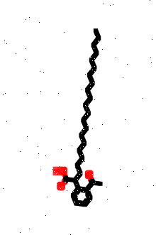 CCCCCCCCCCCCCCCCCCCCC(C(=O)O)c1ccccc1C(C)=O